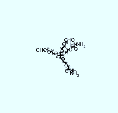 NNC(=O)COCCOCC(COCCOCC=O)(COCCOCC=O)COCCOCC(=O)NN